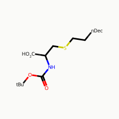 CCCCCCCCCCCCSCC(NC(=O)OC(C)(C)C)C(=O)O